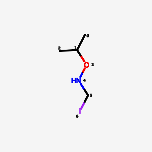 CC(C)ONCI